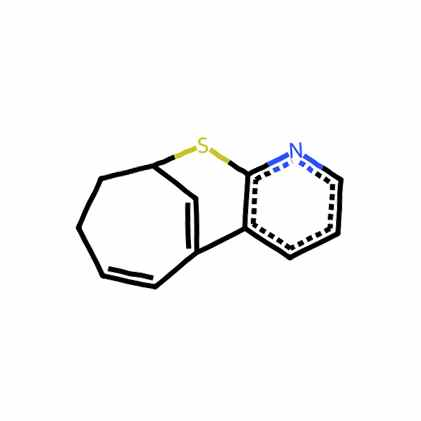 C1=CC2=CC(CC1)Sc1ncccc12